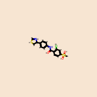 CS(=O)(=O)c1ccc(C(=O)Nc2ccc(C3CSC=N3)cc2)c(Cl)c1